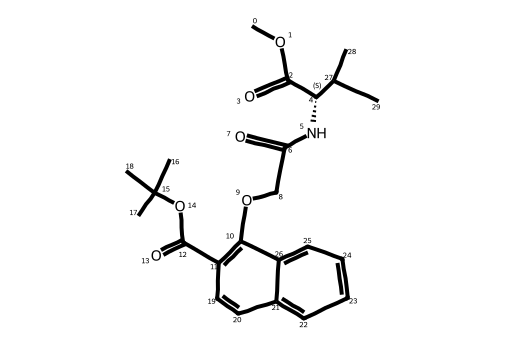 COC(=O)[C@@H](NC(=O)COc1c(C(=O)OC(C)(C)C)ccc2ccccc12)C(C)C